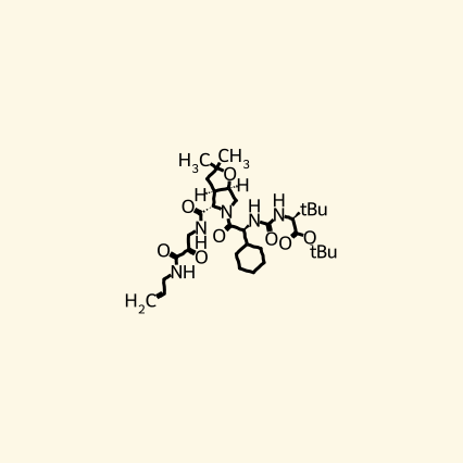 C=CCNC(=O)C(=O)CNC(=O)[C@@H]1[C@H]2CC(C)(C)O[C@H]2CN1C(=O)[C@@H](NC(=O)N[C@H](C(=O)OC(C)(C)C)C(C)(C)C)C1CCCCC1